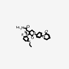 CCSc1ccc(F)c(-n2nc(C(N)=O)c3c2C(=O)N(c2ccc(N4CCCCC4=O)cc2)CC3)c1